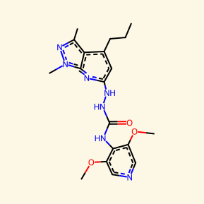 CCCc1cc(NNC(=O)Nc2c(OC)cncc2OC)nc2c1c(C)nn2C